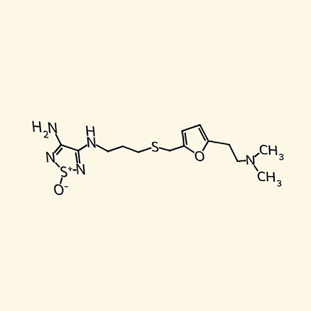 CN(C)CCc1ccc(CSCCCNc2n[s+]([O-])nc2N)o1